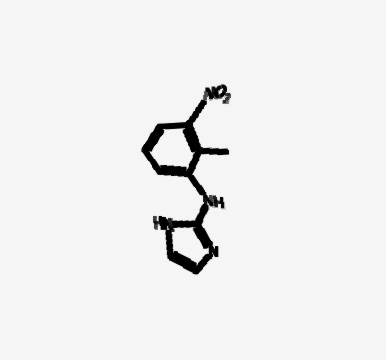 Cc1c(Nc2ncc[nH]2)cccc1[N+](=O)[O-]